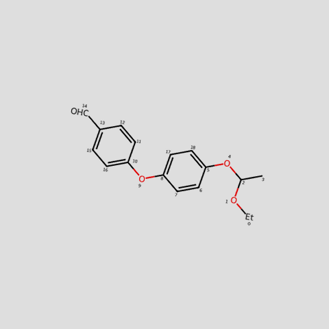 CCOC(C)Oc1ccc(Oc2ccc(C=O)cc2)cc1